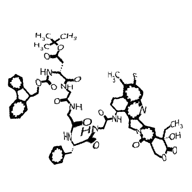 CC[C@@]1(O)C(=O)OCc2c1cc1n(c2=O)Cc2c-1nc1cc(F)c(C)c3c1c2[C@@H](NC(=O)CNC(=O)[C@H](Cc1ccccc1)NC(=O)CNC(=O)CNC(=O)[C@@H](CC(=O)OC(C)(C)C)NC(=O)OCC1c2ccccc2-c2ccccc21)CC3